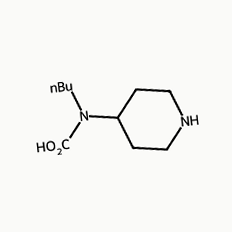 CCCCN(C(=O)O)C1CCNCC1